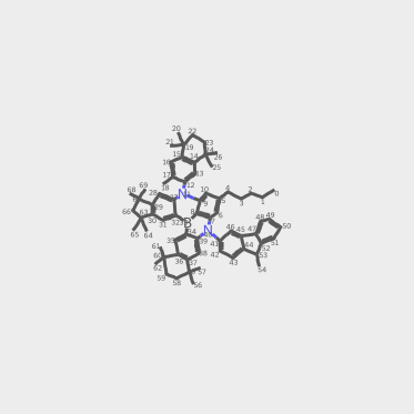 CCCCCc1cc2c3c(c1)N(c1cc4c(cc1C)C(C)(C)CCC4(C)C)c1cc4c(cc1B3c1cc3c(cc1N2c1ccc2c(c1)-c1ccccc1C2C)C(C)(C)CCC3(C)C)C(C)(C)CC4(C)C